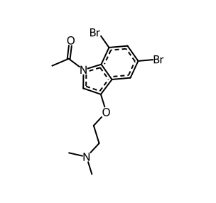 CC(=O)n1cc(OCCN(C)C)c2cc(Br)cc(Br)c21